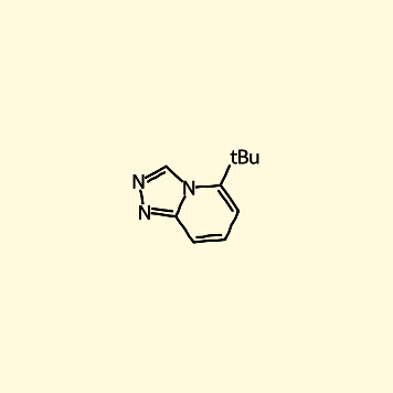 CC(C)(C)c1cccc2nncn12